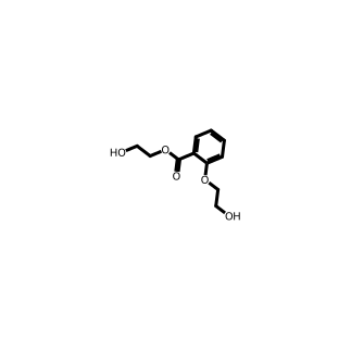 O=C(OCCO)c1ccccc1OCCO